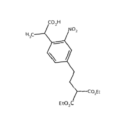 CCOC(=O)C(CCc1ccc(C(C)C(=O)O)c([N+](=O)[O-])c1)C(=O)OCC